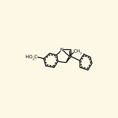 CC1C2C(c3ccccc3)=CN1c1cc(C(=O)O)ccc12